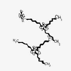 CCCCCCCC(=O)[N+](C)(C(=O)CCCCCCC)C(=O)CCCCCCC.CCCCCCCC(=O)[N+](C)(C(=O)CCCCCCC)C(=O)CCCCCCC.O=P([O-])([O-])O